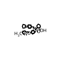 Cc1ccc(COc2ccc3nc([C@H]4CCCC[C@H]4C(=O)O)n(Cc4ccc(N5CCCCC5)cc4)c3c2)nc1